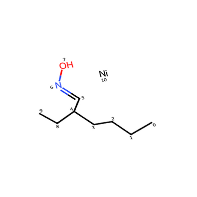 CCCCC(C=NO)CC.[Ni]